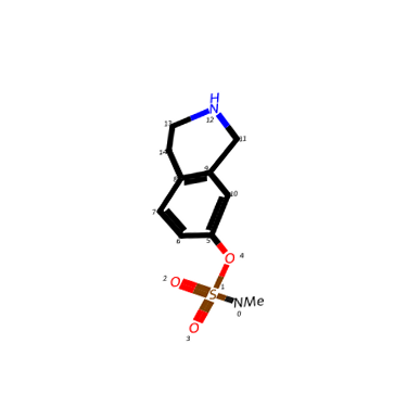 CNS(=O)(=O)Oc1ccc2c(c1)CNCC2